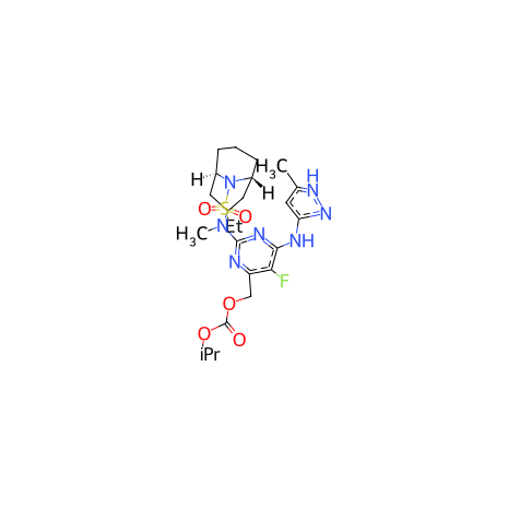 CCS(=O)(=O)N1[C@@H]2CCC[C@@H]1CC(N(C)c1nc(COC(=O)OC(C)C)c(F)c(Nc3cc(C)[nH]n3)n1)C2